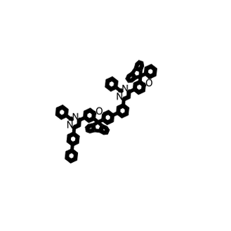 c1ccc(-c2ccc(-c3cc(-c4ccc5c(c4)C4(c6ccc(-c7cccc(-c8cc(-c9ccc%10c(c9)C9(c%11ccccc%11O%10)c%10ccccc%10-c%10ccccc%109)nc(-c9ccccc9)n8)c7)cc6O5)c5ccccc5-c5ccccc54)nc(-c4ccccc4)n3)cc2)cc1